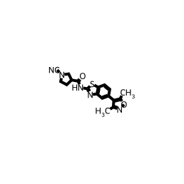 Cc1noc(C)c1-c1ccc2sc(NC(=O)C3CCN(C#N)C3)nc2c1